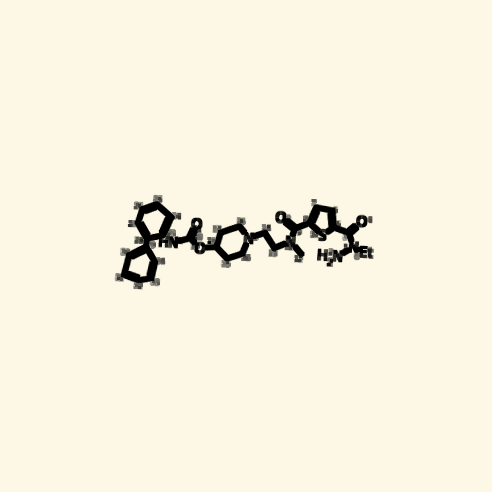 CCN(N)C(=O)c1ccc(C(=O)N(C)CCN2CCC(OC(=O)Nc3ccccc3-c3ccccc3)CC2)s1